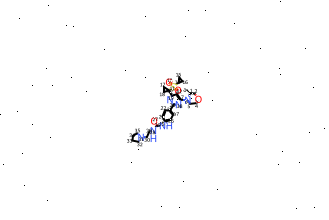 C[C@H]1COCCN1c1cc(C2(S(=O)(=O)C3CC3)CC2)nc(-c2ccc(NC(=O)NCCN3CCCC3)cc2)n1